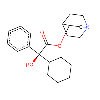 O=C(OC1CN2CCC1CC2)[C@@](O)(c1ccccc1)C1CCCCC1